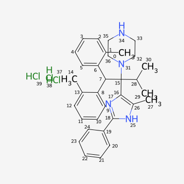 Cc1ccccc1C(c1ccccc1C)C(c1nc(-c2ccccc2)[nH]c1C)(C(C)C)N1CCNCC1.Cl.Cl.Cl